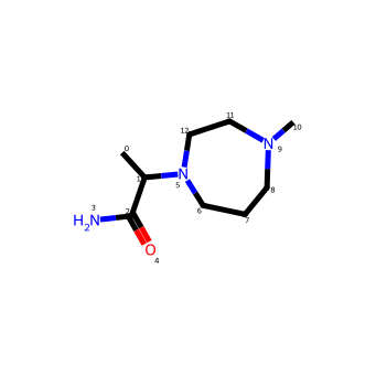 CC(C(N)=O)N1CCCN(C)CC1